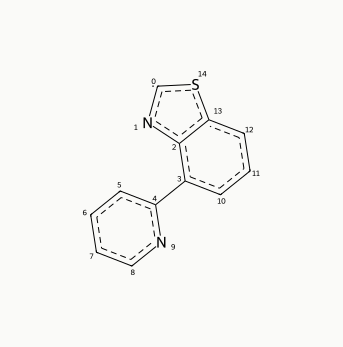 [c]1nc2c(-c3ccccn3)cccc2s1